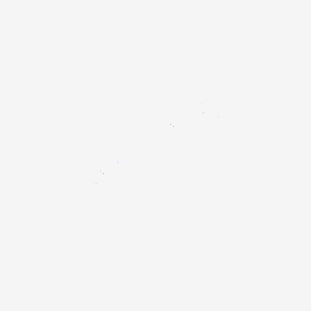 O=C(O)CCNC(=O)c1ccc(/C=C/c2n[nH]c3ccccc23)cc1